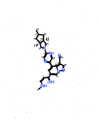 CN/C=C\C(=N)c1cc(-c2cnc(N3C[C@H]4CC(C)C[C@H]4C3)cn2)c2c(C#N)cnn2c1